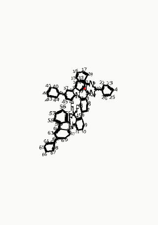 FC(F)(F)c1c(-c2ccc(-c3nc(-c4ccccc4)nc(-c4ccccc4)n3)c(-n3c4ccccc4c4cc(-c5ccccc5)ccc43)c2)cccc1-n1c2ccccc2c2cc(-c3ccccc3)ccc21